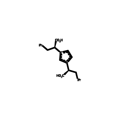 CC(C)C[C@@H](C(=O)O)n1cc[n+]([C@@H](CC(C)C)C(=O)O)c1